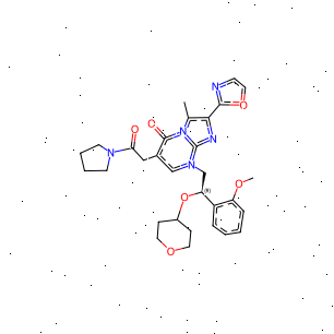 COc1ccccc1[C@H](Cn1cc(CC(=O)N2CCCC2)c(=O)n2c(C)c(-c3ncco3)nc12)OC1CCOCC1